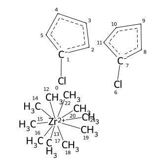 Cl[c-]1cccc1.Cl[c-]1cccc1.[CH3][Zr+2]([CH3])([CH3])([CH3])([CH3])([CH3])([CH3])([CH3])([CH3])[CH3]